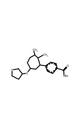 CCCCC(=O)c1ccc(C2CC(OC3CCOC3)CCC(C)C2C)cc1